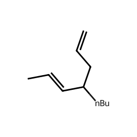 C=CCC(C=CC)CCCC